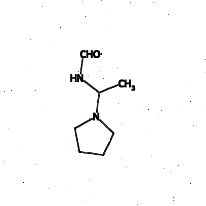 CC(N[C]=O)N1CCCC1